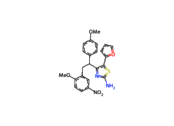 COc1ccc(C(Cc2cc([N+](=O)[O-])ccc2OC)c2nc(N)sc2-c2ccco2)cc1